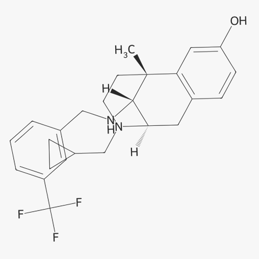 C[C@@]12CCN(CC3CC3)[C@H](Cc3ccc(O)cc31)[C@@H]2NCc1cccc(C(F)(F)F)c1